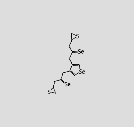 [Se]=C(Cc1c[se]cc1CC(=[Se])CC1CS1)CC1CS1